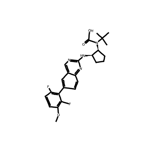 COc1ccc(F)c(-c2ccc3nc(N[C@@H]4CCC[C@@H]4N(C(=O)O)C(C)(C)C)ncc3c2)c1F